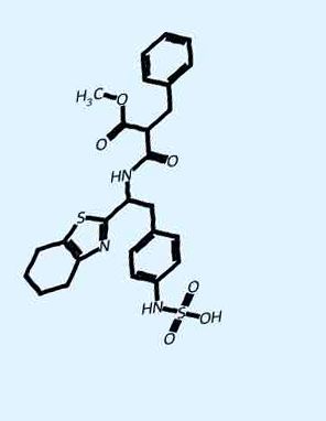 COC(=O)C(Cc1ccccc1)C(=O)NC(Cc1ccc(NS(=O)(=O)O)cc1)c1nc2c(s1)CCCC2